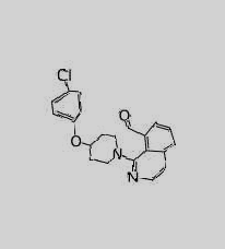 O=Cc1cccc2ccnc(N3CCC(Oc4ccc(Cl)cc4)CC3)c12